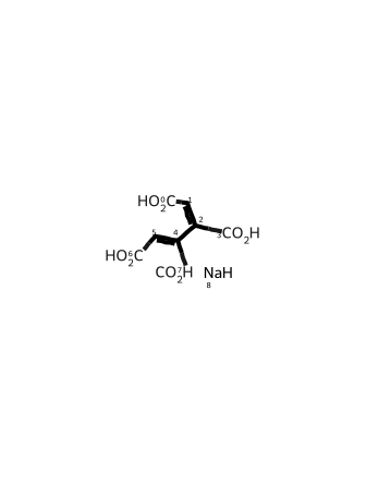 O=C(O)C=C(C(=O)O)C(=CC(=O)O)C(=O)O.[NaH]